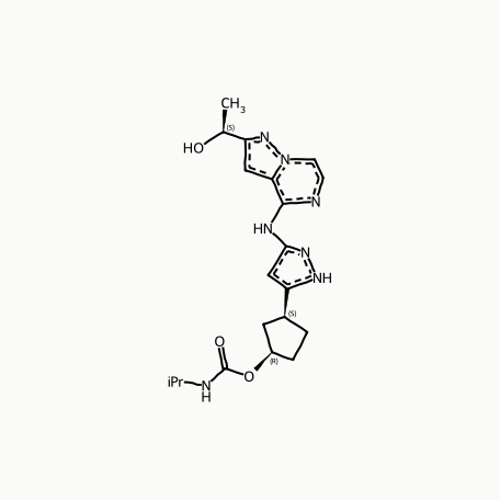 CC(C)NC(=O)O[C@@H]1CC[C@H](c2cc(Nc3nccn4nc([C@H](C)O)cc34)n[nH]2)C1